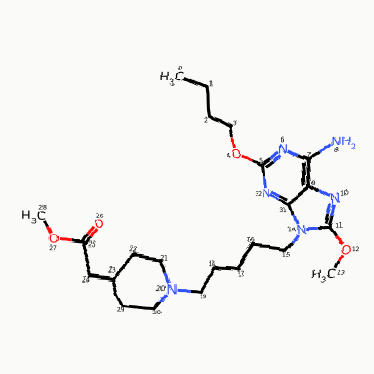 CCCCOc1nc(N)c2nc(OC)n(CCCCCN3CCC(CC(=O)OC)CC3)c2n1